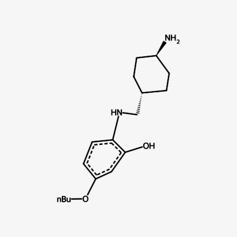 CCCCOc1ccc(NC[C@H]2CC[C@H](N)CC2)c(O)c1